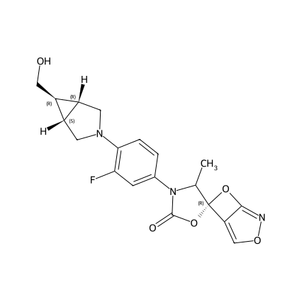 CC1N(c2ccc(N3C[C@@H]4[C@@H](CO)[C@@H]4C3)c(F)c2)C(=O)O[C@@]12Oc1nocc12